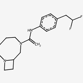 C=C(Nc1ccc(CC(F)F)cc1)N1CCCCN2CCC2C1